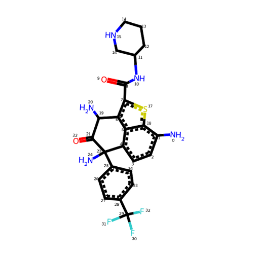 Nc1ccc2c3c(c(C(=O)NC4CCCNC4)sc13)C(N)C(=O)C2(N)c1ccc(C(F)(F)F)cc1